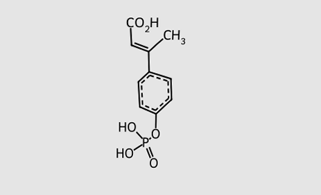 CC(=CC(=O)O)c1ccc(OP(=O)(O)O)cc1